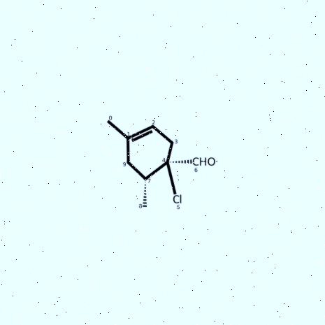 CC1=CC[C@](Cl)([C]=O)[C@H](C)C1